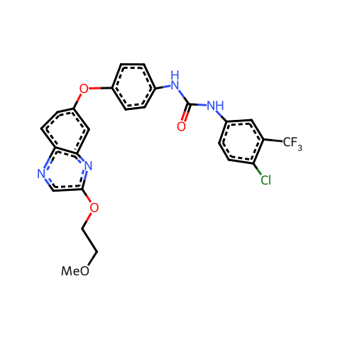 COCCOc1cnc2ccc(Oc3ccc(NC(=O)Nc4ccc(Cl)c(C(F)(F)F)c4)cc3)cc2n1